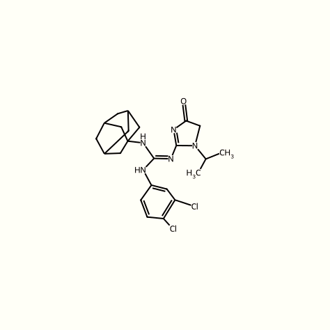 CC(C)N1CC(=O)N=C1/N=C(/Nc1ccc(Cl)c(Cl)c1)NC12CC3CC(CC(C3)C1)C2